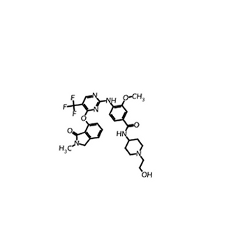 COc1cc(C(=O)NC2CCN(CCO)CC2)ccc1Nc1ncc(C(F)(F)F)c(Oc2cccc3c2C(=O)N(C)C3)n1